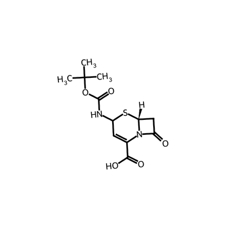 CC(C)(C)OC(=O)NC1C=C(C(=O)O)N2C(=O)C[C@H]2S1